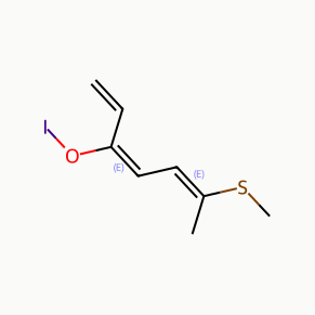 C=C/C(=C\C=C(/C)SC)OI